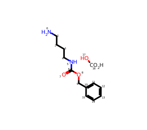 NCCCCNC(=O)OCc1ccccc1.O=C(O)O